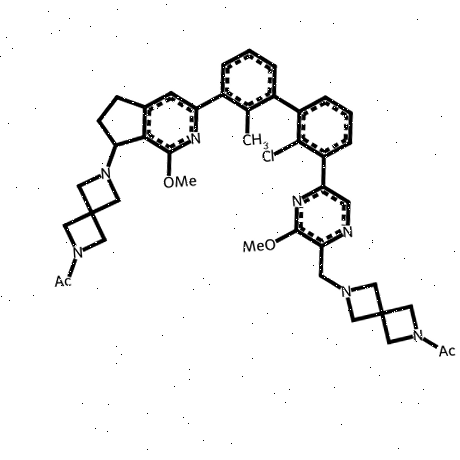 COc1nc(-c2cccc(-c3cccc(-c4cc5c(c(OC)n4)C(N4CC6(CN(C(C)=O)C6)C4)CC5)c3C)c2Cl)cnc1CN1CC2(C1)CN(C(C)=O)C2